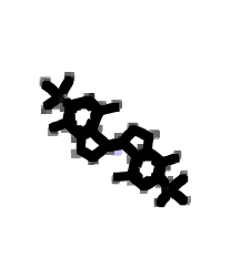 Cc1cc([Si](C)(C)C)c(C)c2c1/C(=C1\CCc3c(C)c([Si](C)(C)C)cc(C)c31)CC2